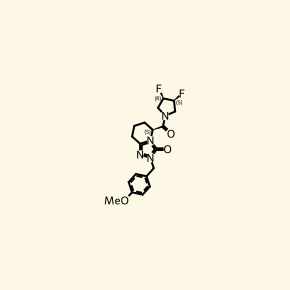 COc1ccc(Cn2nc3n(c2=O)[C@H](C(=O)N2C[C@@H](F)[C@@H](F)C2)CCC3)cc1